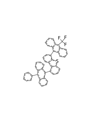 FC(F)(F)c1c2ccccc2c(-c2cccc3c2sc2cccc(-c4c5ccccc5c(-c5ccccc5)c5ccccc45)c23)c2ccccc12